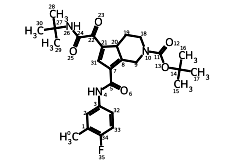 Cc1cc(NC(=O)C2=C3CN(C(=O)OC(C)(C)C)CCC3C(C(=O)C(=O)NC(C)(C)C)=C2)ccc1F